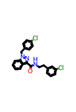 O=C(NCCc1cccc(Cl)c1)c1nn(Cc2ccc(Cl)cc2)c2ccccc12